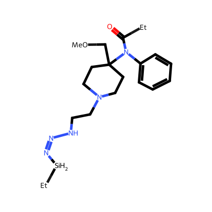 CC[SiH2]/N=N\NCCN1CCC(COC)(N(C(=O)CC)c2ccccc2)CC1